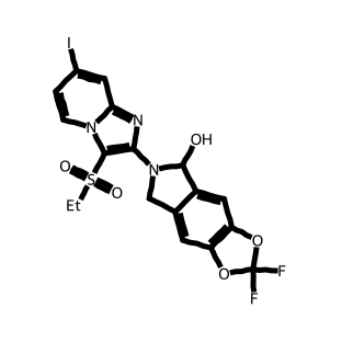 CCS(=O)(=O)c1c(N2Cc3cc4c(cc3C2O)OC(F)(F)O4)nc2cc(I)ccn12